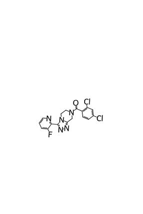 O=C(c1ccc(Cl)cc1Cl)N1CCn2c(nnc2-c2ncccc2F)C1